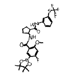 COc1cc(F)c(B2OC(C)(C)C(C)(C)O2)cc1C(=O)NC1CCCC1C(=O)Nc1cccc(SC(F)(F)F)c1